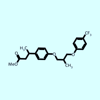 COC(=O)CC(C)c1ccc(OCC(C)COc2ccc(C(F)(F)F)cc2)cc1